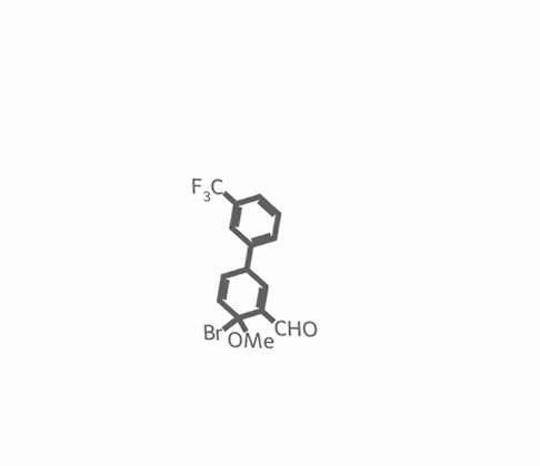 COC1(Br)C=CC(c2cccc(C(F)(F)F)c2)C=C1C=O